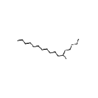 CCCCCCCCCCCC(C)CCCCC